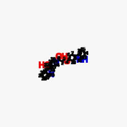 OC(CCOc1ccc2c(c1)[nH]c1ccccc12)N1CCC(O)(c2cnc3ccccc3c2)CC1